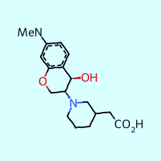 CNc1ccc2c(c1)OC[C@H](N1CCCC(CC(=O)O)C1)[C@@H]2O